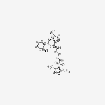 Cc1noc(C)c1S(=O)(=O)NCCCNc1cc(-c2ccccc2Cl)nc2c(Br)cnn12